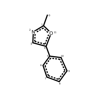 Cc1n[c]c(-c2ccccc2)o1